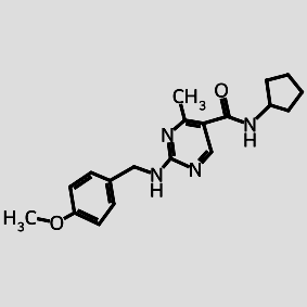 COc1ccc(CNc2ncc(C(=O)NC3CCCC3)c(C)n2)cc1